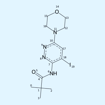 CC(C)(C)C(=O)Nc1nnc(N2CCOCC2)cc1I